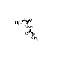 C=CC(=O)SSC(=O)C=C